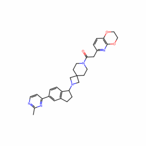 Cc1nccc(-c2ccc3c(c2)CCC3N2CC3(CCN(C(=O)Cc4ccc5c(n4)OCCO5)CC3)C2)n1